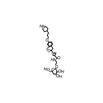 O=C(NCCOC1O[C@H](CO)C[C@H](O)[C@@H]1O)C1CN(C(=O)Cc2ccc(OCCCC3CCNCC3)cc2F)C1